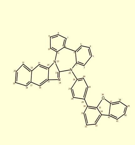 c1ccc2c(c1)-c1ccccc1-n1c(nc3cc4ccccc4cc31)N2c1ccc(-c2cccc3c2oc2ccccc23)cc1